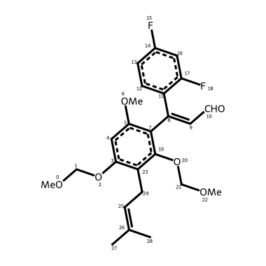 COCOc1cc(OC)c(/C(=C/C=O)c2ccc(F)cc2F)c(OCOC)c1CC=C(C)C